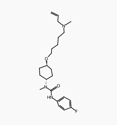 C=CCN(C)CCCCCO[C@H]1CC[C@H](N(C)C(=O)Nc2ccc(F)cc2)CC1